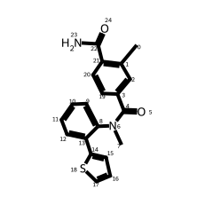 Cc1cc(C(=O)N(C)c2ccccc2-c2cccs2)ccc1C(N)=O